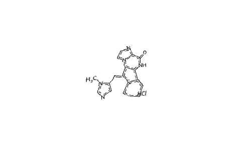 Cl.Cn1cncc1/C=c1\c2ccccc2c2[nH]c(=O)c3nccn3c12